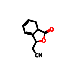 N#CCC1OC(=O)C2CC=CC=C12